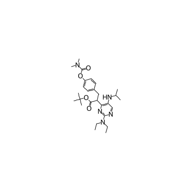 CCN(CC)c1ncc(NC(C)C)c(C(Cc2ccc(OC(=O)N(C)C)cc2)C(=O)OC(C)(C)C)n1